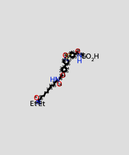 CCN(CC)C(=O)CCCCCCCCCCC(=O)NCCOc1ccc(C2CCN([S+]([O-])c3ccc(C(=O)NCC(=O)O)cc3)CC2)cc1